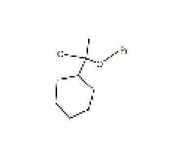 CC(C)OC(C)([O])C1CCCCC1